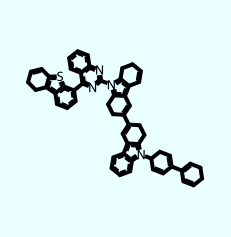 C1=CC(C2=CCC(n3c4c(c5ccccc53)C=C(C3=Cc5c6c(n(-c7nc(-c8cccc9c%10c(sc89)C=CCC%10)c8ccccc8n7)c5CC3)CCC=C6)CC4)C=C2)=CCC1